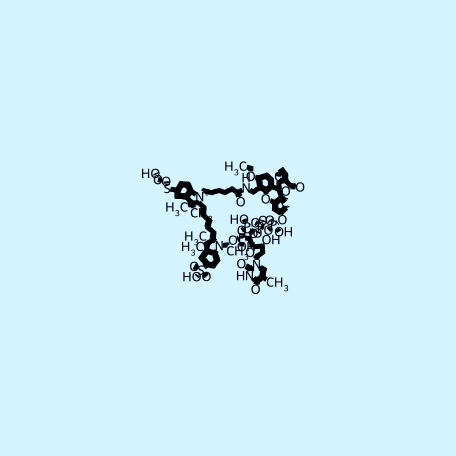 CCOc1ccc2c(c1CNC(=O)CCCCC[N+]1=C(/C=C/C=C/C=C3/N(CC)c4ccc(S(=O)(=O)O)cc4C3(C)C)C(C)(C)c3cc(SOOO)ccc31)Oc1cc(OP(=O)(O)OP(=O)(O)OP(=O)(O)OP(=O)(O)CC3OC(n4cc(C)c(=O)[nH]c4=O)C[C@@H]3O)ccc1C21OC(=O)c2ccccc21